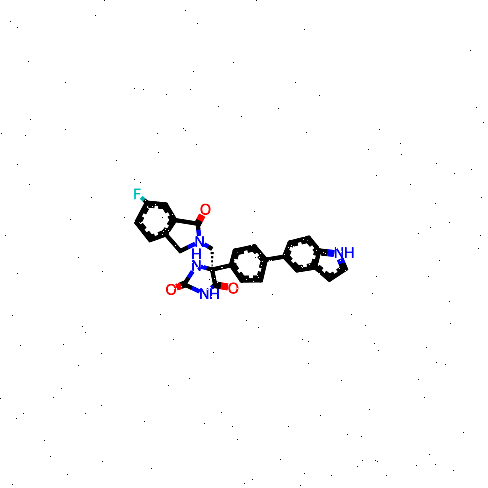 O=C1NC(=O)[C@](CN2Cc3ccc(F)cc3C2=O)(c2ccc(-c3ccc4[nH]ccc4c3)cc2)N1